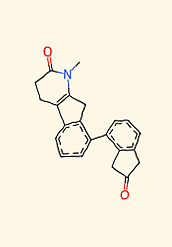 CN1C(=O)CCC2=C1Cc1c2cccc1-c1cccc2c1CC(=O)C2